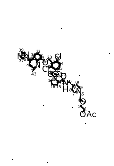 CC(=O)OCCOCCN1CCC(CNC(=O)[C@@H]2CCCN2S(=O)(=O)c2ccc(Cl)c(COc3cccc4c(-n5cncn5)cc(C)nc34)c2Cl)CC1